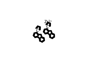 [Zr+2].c1ccc2c(c1)Cc1c-2cccc1-[c-]1cccc1.c1ccc2c(c1)Cc1c-2cccc1-[c-]1cccc1